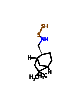 CC1(C)C[C@H]2C[C@@H]1CC[C@H]2CNSS